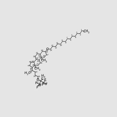 CCCCCCCCCCCCCCCOC1CCC2(C)C(CCC3C2CCC2(C)C(C(C)CCCOC(C)(C(F)(F)F)C(F)(F)F)CCC32)C1